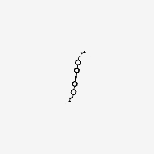 C=C(C)C(=O)CC1CCC(c2ccc(C#Cc3ccc(C4CCC(COC(=O)C(=C)C)CC4)cc3)cc2)CC1